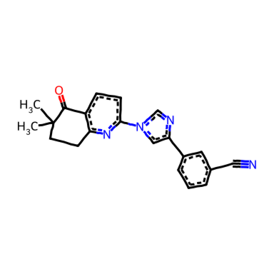 CC1(C)CCc2nc(-n3cnc(-c4cccc(C#N)c4)c3)ccc2C1=O